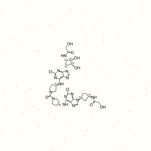 O=C(CO)N[C@@H]1CC[C@H](n2cnc3c(N[C@@H]4CCN(C(=O)N5CC[C@@H](Nc6nc(Cl)nc7c6ncn7[C@@H]6C[C@H](NC(=O)CO)[C@@H](O)[C@H]6O)C5)C4)nc(Cl)nc32)C1